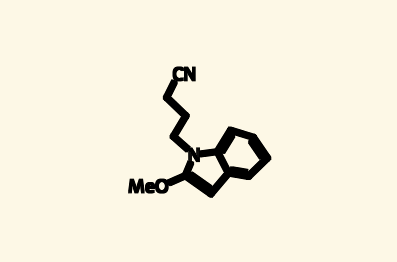 COc1cc2ccccc2n1CCCC#N